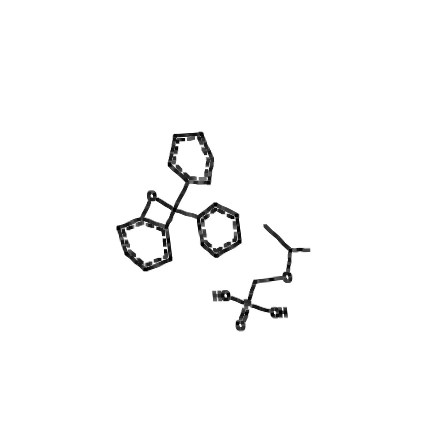 CC(C)OCP(=O)(O)O.c1ccc(C2(c3ccccc3)Oc3ccccc32)cc1